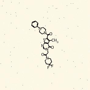 Cc1c(C(=O)N2CCN(c3ccccc3)CC2)sc2ncn(CC(=O)N3CCC(F)(F)CC3)c(=O)c12